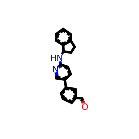 O=Cc1cccc(-c2ccc(NC3CCc4ccccc43)nc2)c1